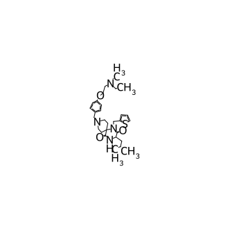 CCN(CC)CCOc1ccc(CN2CCC3(CC2)C(=O)NC(CC(C)C)C(=O)N3Cc2cccs2)cc1